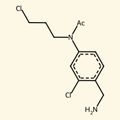 CC(=O)N(CCCCl)c1ccc(CN)c(Cl)c1